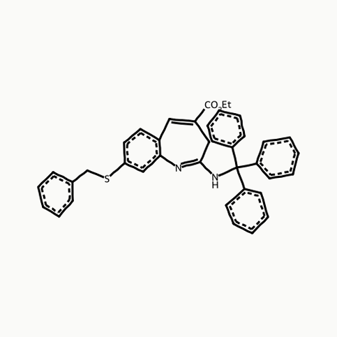 CCOC(=O)C1=Cc2ccc(SCc3ccccc3)cc2N=C(NC(c2ccccc2)(c2ccccc2)c2ccccc2)C1